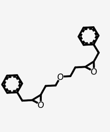 c1ccc(CC2OC2CCOCCC2OC2Cc2ccccc2)cc1